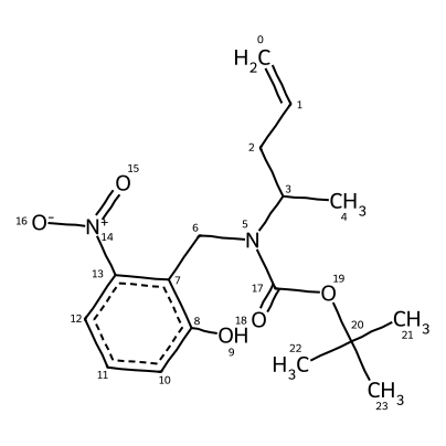 C=CCC(C)N(Cc1c(O)cccc1[N+](=O)[O-])C(=O)OC(C)(C)C